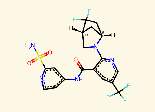 NS(=O)(=O)c1cc(NC(=O)c2cc(C(F)(F)F)cnc2N2C[C@H]3C[C@@H]2CC3(F)F)ccn1